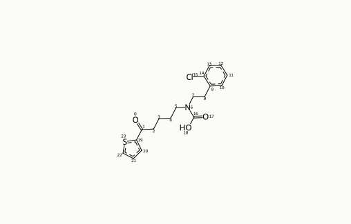 O=C(CCCCN(CCc1ccccc1Cl)C(=O)O)c1cccs1